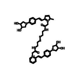 CC1C=CC(/C=C/c2ccc(N3CC(O)C(O)C3)cc2)=[N+]1CC(=O)NCCSSCCNC(=O)C[n+]1ccccc1/C=C/c1ccc(N2CC(O)C(O)C2)cc1